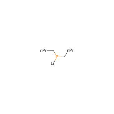 [Li][P](CCCC)CCCC